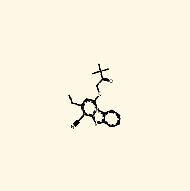 CCc1cc(SCC(=O)C(C)(C)C)n2c(nc3ccccc32)c1C#N